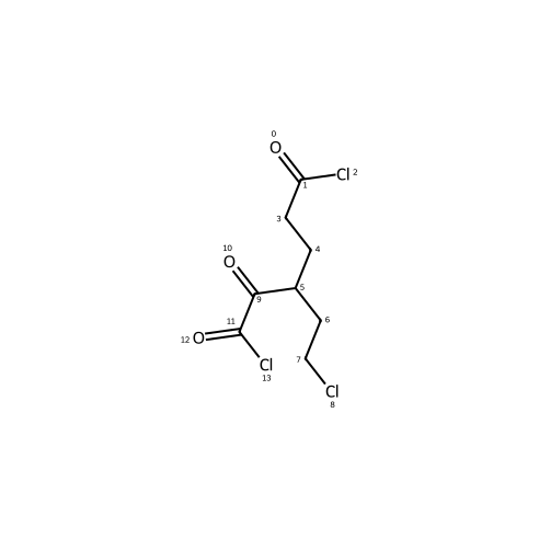 O=C(Cl)CCC(CCCl)C(=O)C(=O)Cl